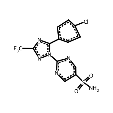 NS(=O)(=O)c1cnc(-n2nc(C(F)(F)F)nc2-c2ccc(Cl)cc2)nc1